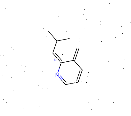 C=c1cccn/c1=C/C(C)C